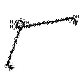 CC(COCCOOCCOOCCOOCCOOCCOOCCOOCCOOCCOOCCOOCCOCC(C)(CO)COCC(F)(F)C(F)(F)F)OCC(C)OCC(C)OCC(C)OCC(C)OCC(C)OCCOCCOCCOCCOCCOCCOCCOCCOCCOCCOCC(C)(CO)COCC(F)(F)C(F)(F)F